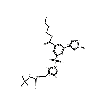 CCCCOC(=O)c1cc(-c2cnn(C)c2)cc(S(=O)(=O)c2cnc(CNC(=O)OC(C)(C)C)s2)c1